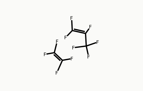 FC(F)=C(F)C(F)(F)F.FC(F)=C(F)F